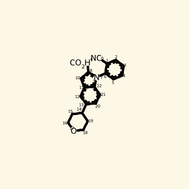 N#Cc1ccccc1-n1c(C(=O)O)cc2cc(C3CCOCC3)ccc21